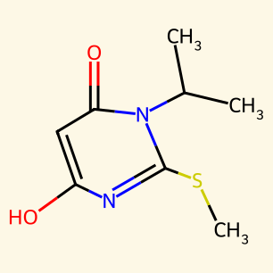 CSc1nc(O)cc(=O)n1C(C)C